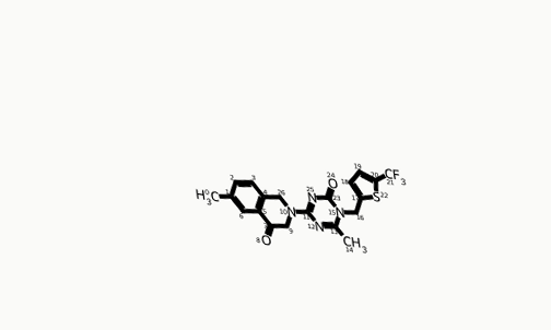 Cc1ccc2c(c1)C(=O)CN(c1nc(C)n(Cc3ccc(C(F)(F)F)s3)c(=O)n1)C2